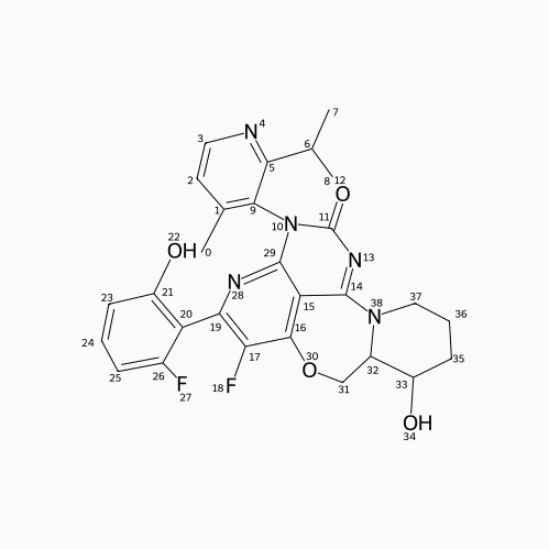 Cc1ccnc(C(C)C)c1-n1c(=O)nc2c3c(c(F)c(-c4c(O)cccc4F)nc31)OCC1C(O)CCCN21